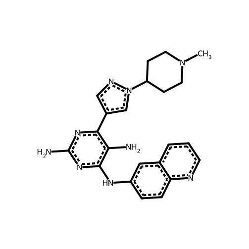 CN1CCC(n2cc(-c3nc(N)nc(Nc4ccc5ncccc5c4)c3N)cn2)CC1